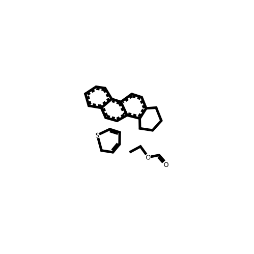 C1=CCSC=C1.CCOC=O.c1ccc2c(c1)ccc1c3c(ccc12)CCCC3